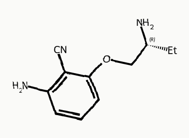 CC[C@@H](N)COc1cccc(N)c1C#N